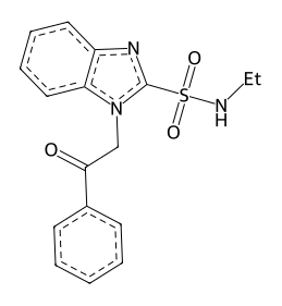 CCNS(=O)(=O)c1nc2ccccc2n1CC(=O)c1ccccc1